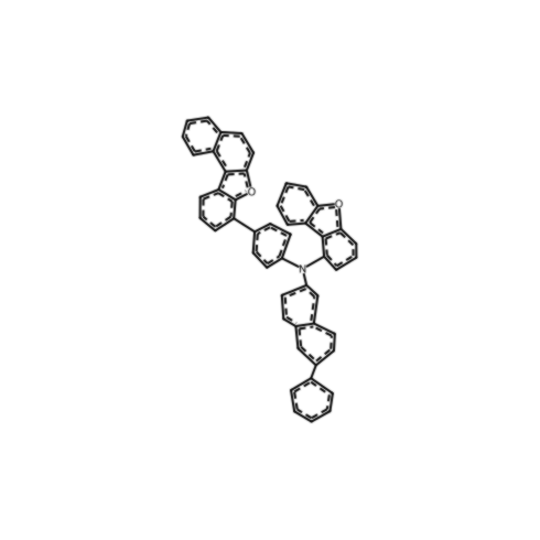 c1ccc(-c2ccc3cc(N(c4ccc(-c5cccc6c5oc5ccc7ccccc7c56)cc4)c4cccc5oc6ccccc6c45)ccc3c2)cc1